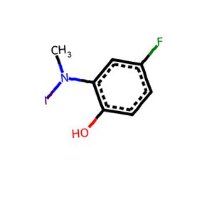 CN(I)c1cc(F)ccc1O